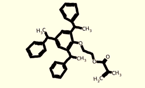 C=C(C)C(=O)OCCOc1c(C(C)c2ccccc2)cc(C(C)c2ccccc2)cc1C(C)c1ccccc1